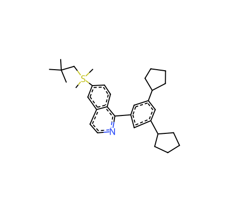 CC(C)(C)CS(C)(C)c1ccc2c(-c3cc(C4CCCC4)cc(C4CCCC4)c3)nccc2c1